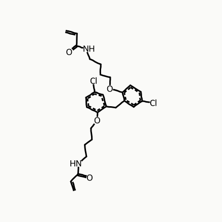 C=CC(=O)NCCCCOc1ccc(Cl)cc1Cc1cc(Cl)ccc1OCCCCNC(=O)C=C